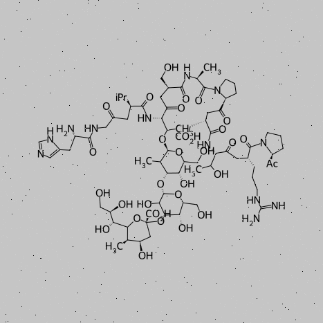 CC(=O)[C@@H]1CCCN1C(=O)[C@H](CCCNC(=N)N)CC(=O)[C@@H](NC(=O)[C@H](CC(=O)O)CC(=O)[C@@H]1CCCN1C(=O)[C@H](C)NC(=O)[C@H](CO)CC(=O)[C@@H](NC(=O)[C@@H](CC(=O)CNC(=O)[C@@H](N)Cc1cnc[nH]1)C(C)C)C(C)O[C@H]1OC(CO)[C@H](O)[C@H](O[C@@H]2OC(CO)[C@H](O)[C@H](O[C@]3(C(=O)O)C[C@@H](O)[C@@H](C)C([C@H](O)[C@H](O)CO)O3)C2O)C1C)C(C)O